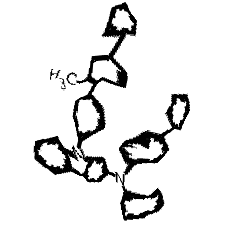 CC1C=C(c2ccccc2)C=CC1c1ccc(-n2c3ccccc3c3ccc(N(c4ccccc4)c4ccc(-c5ccccc5)cc4)cc32)cc1